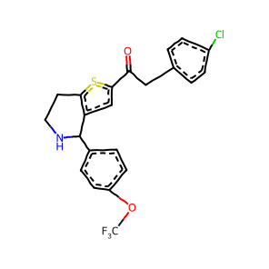 O=C(Cc1ccc(Cl)cc1)c1cc2c(s1)CCNC2c1ccc(OC(F)(F)F)cc1